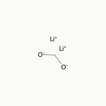 [Li+].[Li+].[O-]C[O-]